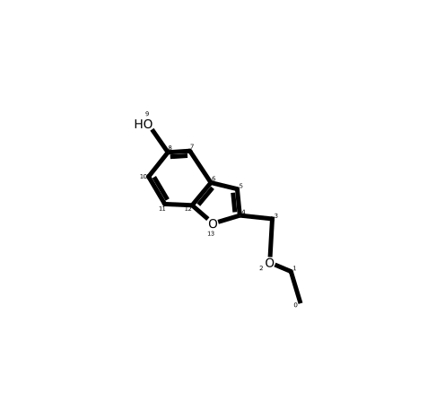 CCOCc1cc2cc(O)ccc2o1